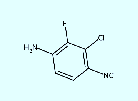 [C-]#[N+]c1ccc(N)c(F)c1Cl